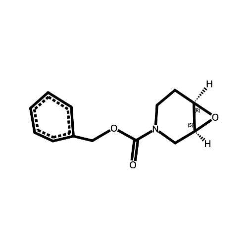 O=C(OCc1ccccc1)N1CC[C@H]2O[C@H]2C1